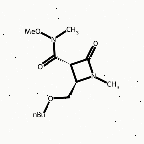 CCCCOC[C@H]1[C@H](C(=O)N(C)OC)C(=O)N1C